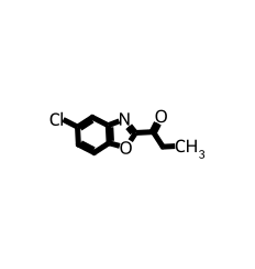 CCC(=O)c1nc2cc(Cl)ccc2o1